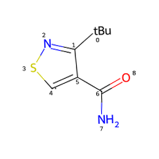 CC(C)(C)c1ns[c]c1C(N)=O